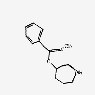 Cl.O=C(OC1CCCNC1)c1ccccc1